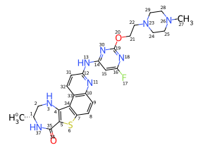 C[C@@H]1CNc2c(sc3ccc4nc(Nc5cc(F)nc(OCCN6CCN(C)CC6)n5)ccc4c23)C(=O)N1